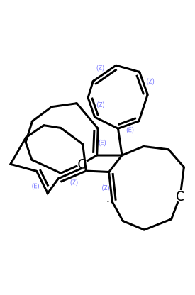 [C]1=C(/C2=C\C=C\CCCCC2)C(C2=C/C=C\C=C/C=C\2)(/C2=C/CCCCCCC2)CCCCCCC/1